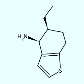 CC[C@H]1CCc2sccc2[C@H]1N